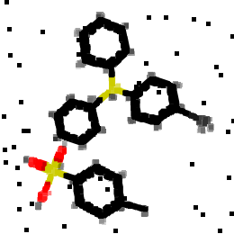 Cc1ccc(S(=O)(=O)[O-])cc1.FC(F)(F)c1ccc([S+](c2ccccc2)c2ccccc2)cc1